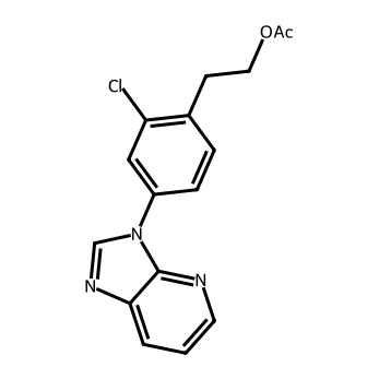 CC(=O)OCCc1ccc(-n2cnc3cccnc32)cc1Cl